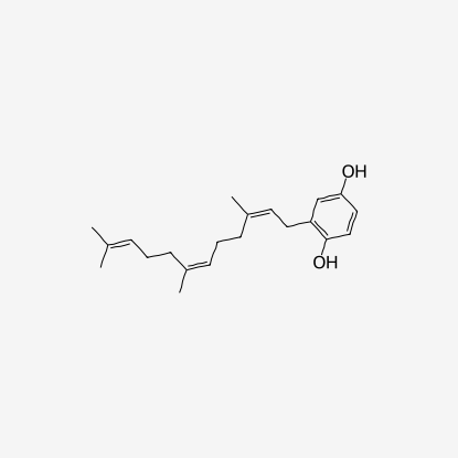 CC(C)=CCCC(C)=CCCC(C)=CCc1cc(O)ccc1O